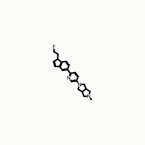 CN1CC2CN(c3ccc(-c4ccc5c(c4)C=CC5CCF)nc3)CC2C1